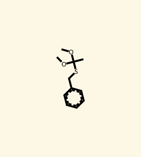 COC(C)(OC)SCc1ccccc1